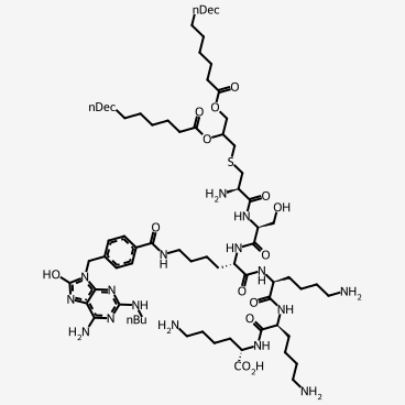 CCCCCCCCCCCCCCCC(=O)OCC(CSC[C@H](N)C(=O)N[C@@H](CO)C(=O)N[C@@H](CCCCNC(=O)c1ccc(Cn2c(O)nc3c(N)nc(NCCCC)nc32)cc1)C(=O)N[C@@H](CCCCN)C(=O)N[C@@H](CCCCN)C(=O)N[C@@H](CCCCN)C(=O)O)OC(=O)CCCCCCCCCCCCCCC